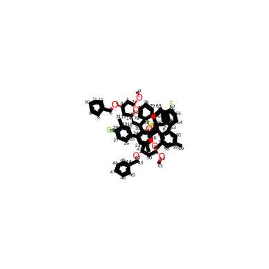 CO[C@@H]1C[C@H](OCc2ccccc2)C[C@H](CC(c2c(C)cc(C)cc2-c2ccc(F)c(C)c2)C2([S+]([O-])C3(C(C[C@H]4C[C@@H](OCc5ccccc5)C[C@@H](OC)O4)c4c(C)cc(C)cc4-c4ccc(F)c(C)c4)C=CC=CC3)C=CC=CC2)O1